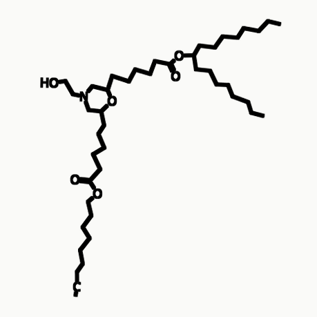 CCCCCCCCCOC(=O)CCCCCC1CN(CCO)CC(CCCCCC(=O)OC(CCCCCCCC)CCCCCCCC)O1